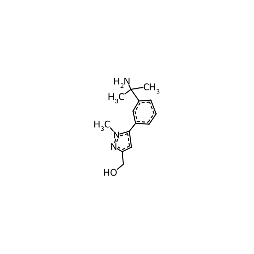 Cn1nc(CO)cc1-c1cccc(C(C)(C)N)c1